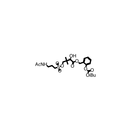 CC(=O)NCCCS(=O)(=O)OCC(C)(C)[C@@H](O)C(=O)OCc1ccccc1OC(=O)OCC(C)C